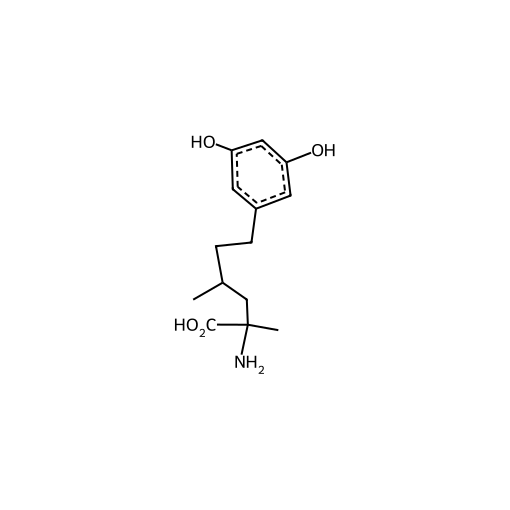 CC(CCc1cc(O)cc(O)c1)CC(C)(N)C(=O)O